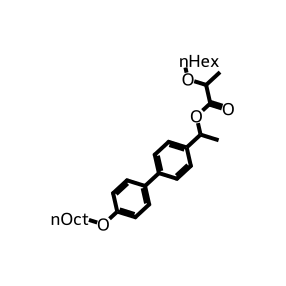 CCCCCCCCOc1ccc(-c2ccc(C(C)OC(=O)C(C)OCCCCCC)cc2)cc1